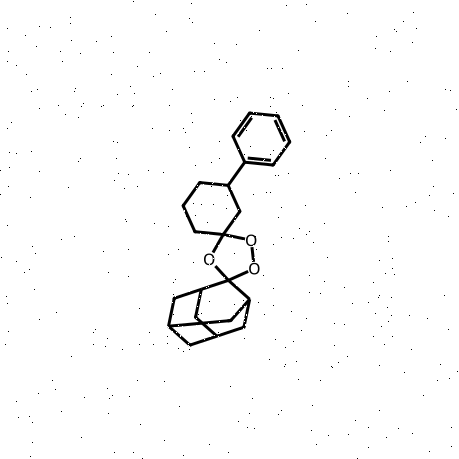 c1ccc(C2CCCC3(C2)OOC2(O3)C3CC4CC(C3)CC2C4)cc1